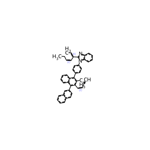 C#C/C=C\c1c(C)c(-c2ccc(-n3c(C(/C=C\CC)=C/C)nc4ccccc43)cc2)c2ccccc2c1-c1ccc2ccccc2c1